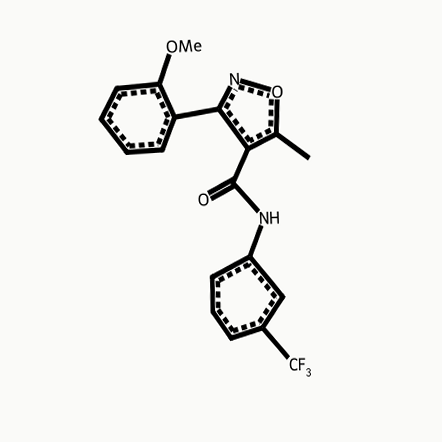 COc1ccccc1-c1noc(C)c1C(=O)Nc1cccc(C(F)(F)F)c1